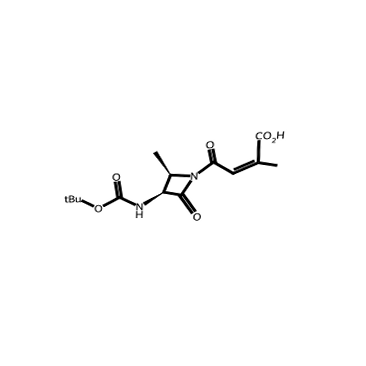 C/C(=C/C(=O)N1C(=O)[C@@H](NC(=O)OC(C)(C)C)[C@H]1C)C(=O)O